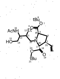 C=C[C@@H]1C[C@H](C(=O)OC(C)(C)C)N(CC(CC)C(CO)NC(C)=O)[C@H]1C(=O)OC(C)(C)C